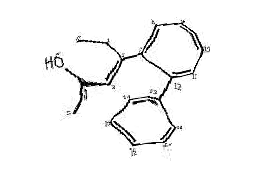 CCC(=CC(C)O)c1ccccc1-c1ccccc1